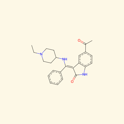 CCN1CCC(NC(=C2C(=O)Nc3ccc(C(C)=O)cc32)c2ccccc2)CC1